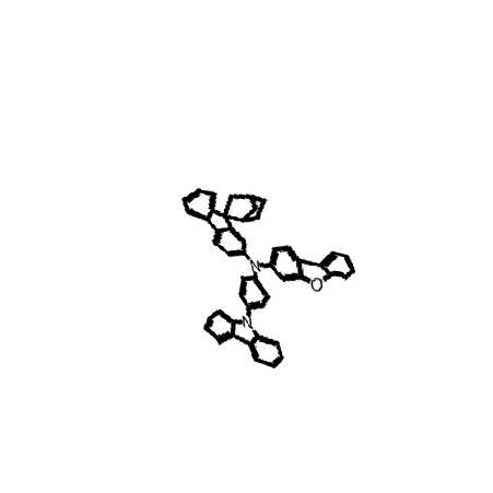 c1ccc2c(c1)-c1ccc(N(c3ccc(-n4c5ccccc5c5ccccc54)cc3)c3ccc4c(c3)oc3ccccc34)cc1C21CC2CCC1C2